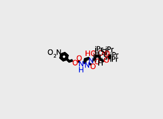 CC(C)[Si]1(C(C)C)OC[C@H]2O[C@@H](n3ccc(NC(=O)OCCc4ccc([N+](=O)[O-])cc4)nc3=O)[C@H](O)[C@@H]2O[Si](C(C)C)(C(C)C)O1